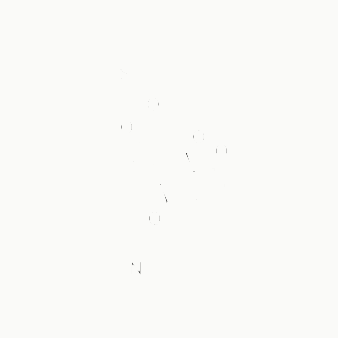 C=C1C=C2C[C@@]3(C(=O)CC4[C@](C)(COC(=O)c5cccs5)CCC[C@@]4(COCC#N)C23)C1=O